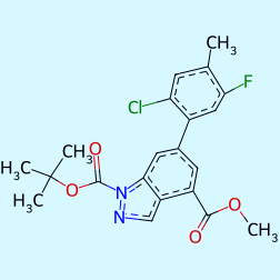 COC(=O)c1cc(-c2cc(F)c(C)cc2Cl)cc2c1cnn2C(=O)OC(C)(C)C